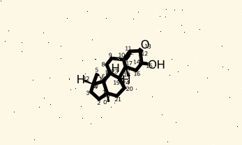 C[C@@]12CC[C@@H]3C[C@@]31[C@@H]1CCC3=CC(=O)C(O)C[C@]3(C)[C@H]1CC2